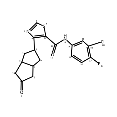 O=C1CC2CC(c3ncsc3C(=O)Nc3ccc(F)c(Cl)c3)CC2C1